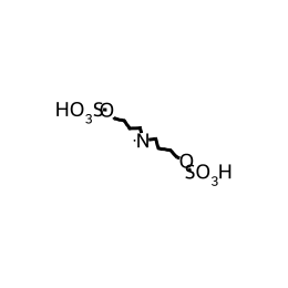 O=S(=O)(O)OCCCC[N]CCCCOS(=O)(=O)O